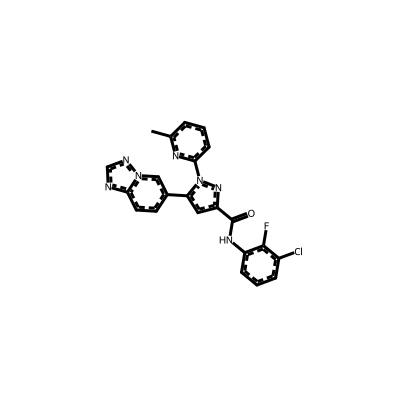 Cc1cccc(-n2nc(C(=O)Nc3cccc(Cl)c3F)cc2-c2ccc3ncnn3c2)n1